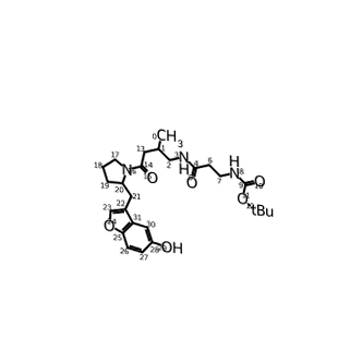 CC(CNC(=O)CCNC(=O)OC(C)(C)C)CC(=O)N1CCCC1Cc1coc2ccc(O)cc12